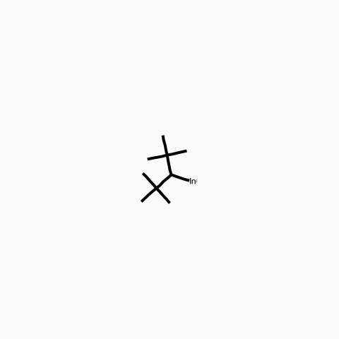 CC(C)(C)[CH]([In])C(C)(C)C